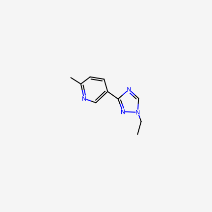 CCn1cnc(-c2ccc(C)nc2)n1